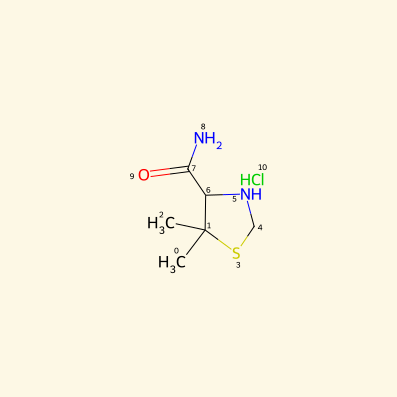 CC1(C)SCNC1C(N)=O.Cl